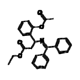 CCOC(=O)CC(N=C(c1ccccc1)c1ccccc1)c1ccccc1OC(C)=O